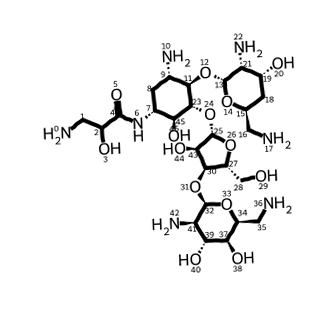 NCC(O)C(=O)N[C@@H]1C[C@H](N)[C@@H](O[C@H]2O[C@H](CN)C[C@@H](O)[C@H]2N)[C@H](O[C@@H]2O[C@H](CO)[C@@H](O[C@H]3O[C@@H](CN)[C@@H](O)[C@H](O)[C@H]3N)[C@H]2O)[C@H]1O